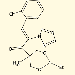 CCC1OCC(C)(C(=O)C(=Cc2ccccc2Cl)n2cncn2)CO1